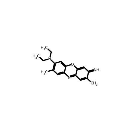 CCN(CC)c1cc2oc3cc(=N)c(C)cc-3nc2cc1C